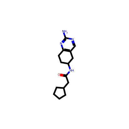 Nc1ncc2c(n1)CCC(NC(=O)CC1CCCC1)C2